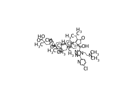 CC(C)C1=C2C3CC[C@@H]4[C@@]5(C)CC[C@H](OC(=O)CC(C)(C)C(=O)O)C(C)(C)[C@@H]5CC[C@@]4(C)[C@]3(C)CC[C@@]2([C@H](O)c2nnc(-c3ccc(Cl)cn3)n2CCN(C)C)CC1=O